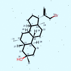 C=C(CBr)[C@H]1CC[C@H]2[C@@H]3C[C@@H](C)[C@H]4C[C@@](C)(O)CC[C@@H]4[C@H]3CC[C@]12C